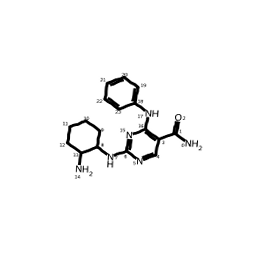 NC(=O)c1cnc(NC2CCCCC2N)nc1Nc1ccccc1